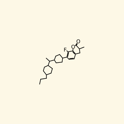 CCCC1CCC(C(C)C2CCC(c3ccc4c(c3F)OC(=O)C(C)C4)CC2)CC1